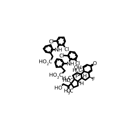 C[C@H]1C[C@H]2[C@@H]3C[C@H](F)C4=CC(=O)C=C[C@]4(C)[C@@]3(F)[C@@H](O)C[C@]2(C)[C@@]1(O)C(=O)CO.O=C(O)Cc1ccccc1Nc1c(Cl)cccc1Cl.O=C(O)Cc1ccccc1Nc1c(Cl)cccc1Cl